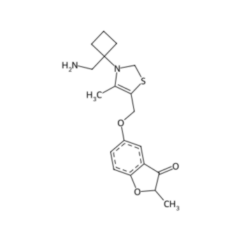 CC1=C(COc2ccc3c(c2)C(=O)C(C)O3)SCN1C1(CN)CCC1